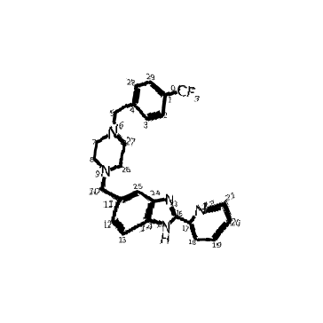 FC(F)(F)c1ccc(CN2CCN(Cc3ccc4[nH]c(-c5ccccn5)nc4c3)CC2)cc1